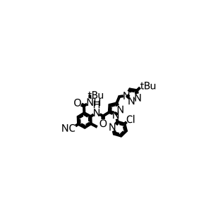 Cc1cc(C#N)cc(C(=O)NC(C)(C)C)c1NC(=O)c1cc(Cn2cc(C(C)(C)C)nn2)nn1-c1ncccc1Cl